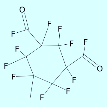 CC1(F)C(F)(F)C(F)(C(=O)F)C(F)(F)C(F)(C(=O)F)C1(F)F